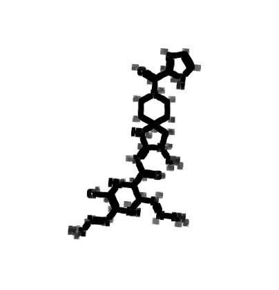 NN=NC1=C(Cl)NC(C(=O)/N=C2/NC3(CCN(C(=O)c4ncc[nH]4)CC3)CN2N)C(N=NN)N1